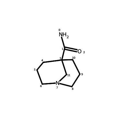 NC(=O)C12CCCN(CCC1)C2